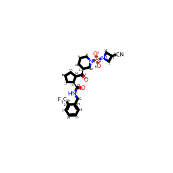 N#CC1CN(S(=O)(=O)N2CCC[C@H](C(=O)C3CCC[C@@H]3C(=O)NCc3ccccc3C(F)(F)F)C2)C1